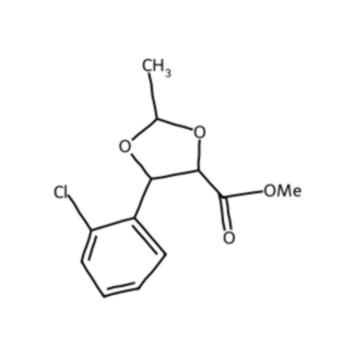 COC(=O)C1OC(C)OC1c1ccccc1Cl